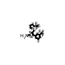 Nc1nc(-c2cc(F)cc(C(F)(F)F)c2)c(CN2CCC[C@H]2C(F)(F)F)s1